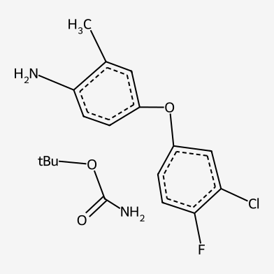 CC(C)(C)OC(N)=O.Cc1cc(Oc2ccc(F)c(Cl)c2)ccc1N